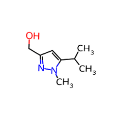 CC(C)c1cc(CO)nn1C